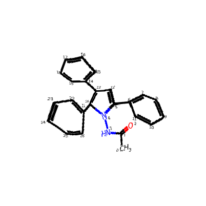 CC(=O)Nn1c(-c2ccccc2)cc(-c2ccccc2)c1-c1ccccc1